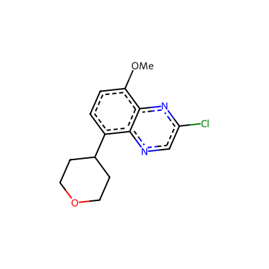 COc1ccc(C2CCOCC2)c2ncc(Cl)nc12